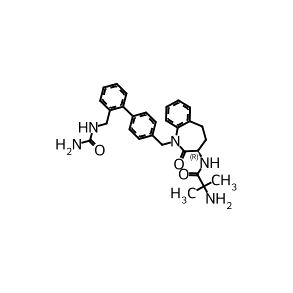 CC(C)(N)C(=O)N[C@@H]1CCc2ccccc2N(Cc2ccc(-c3ccccc3CNC(N)=O)cc2)C1=O